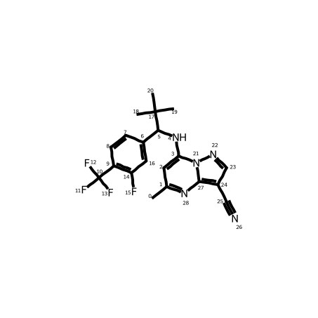 Cc1cc(NC(c2ccc(C(F)(F)F)c(F)c2)C(C)(C)C)n2ncc(C#N)c2n1